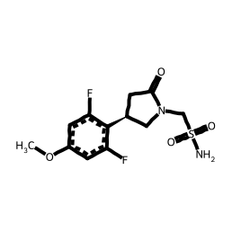 COc1cc(F)c([C@H]2CC(=O)N(CS(N)(=O)=O)C2)c(F)c1